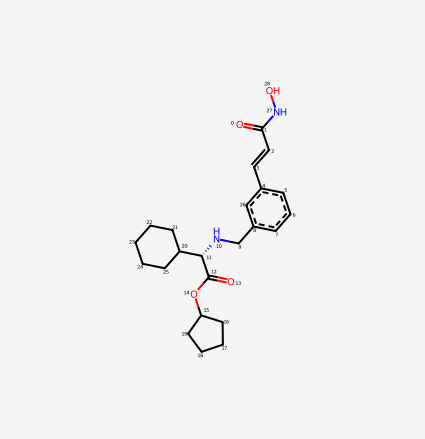 O=C(/C=C/c1cccc(CN[C@H](C(=O)OC2CCCC2)C2CCCCC2)c1)NO